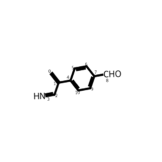 C=C(C=N)c1ccc(C=O)cc1